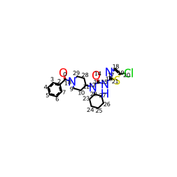 O=C(c1ccccc1)N1CCC(N(C(=O)Nc2ncc(Cl)s2)C2CCCCC2)CC1